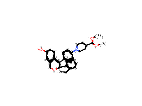 COC(OC)C1CCN(c2ccc([C@@H]3c4ccc(O)cc4CO[C@@]34CCc3ccccc34)cc2)CC1